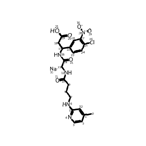 Cc1ccnc(NCCCC(=O)NCC(=O)NC(CC(=O)O)c2ccc(Cl)c([N+](=O)[O-])c2)c1.[Na]